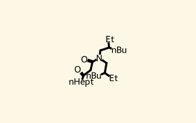 CCCCCCCC(=O)CC(=O)N(CC(CC)CCCC)CC(CC)CCCC